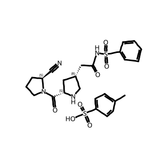 Cc1ccc(S(=O)(=O)O)cc1.N#C[C@@H]1CCCN1C(=O)[C@@H]1C[C@H](CC(=O)NS(=O)(=O)c2ccccc2)CN1